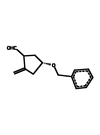 C=C1C[C@@H](OCc2ccccc2)CC1C=O